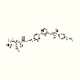 Cc1ccc(S(=O)(=O)OCc2ccnc(-c3ccc(NCCNC(=O)OC(C)(C)C)nc3)n2)cc1